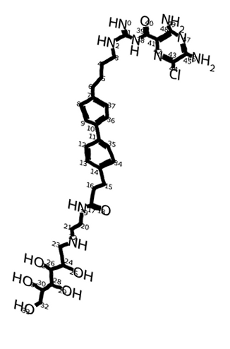 N=C(NCCCCc1ccc(-c2ccc(CCC(=O)NCCNCC(O)C(O)C(O)C(O)CO)cc2)cc1)NC(=O)c1nc(Cl)c(N)nc1N